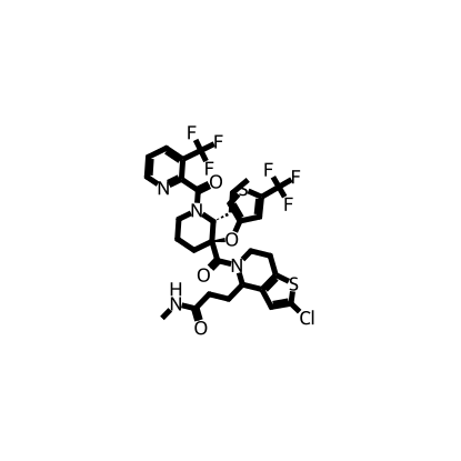 CCC[C@H]1N(C(=O)c2ncccc2C(F)(F)F)CCC[C@@]1(Oc1csc(C(F)(F)F)c1)C(=O)N1CCc2sc(Cl)cc2C1CCC(=O)NC